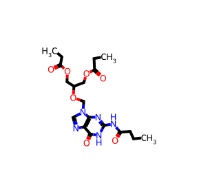 CCCC(=O)Nc1nc2c(ncn2COC(COC(=O)CC)COC(=O)CC)c(=O)[nH]1